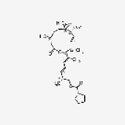 CC(=O)O[C@@H]1/C=C/[C@H](C)[C@@H](/C(C)=C/C=C/[C@@H](C)COC(=O)N2CCCC2)OC(=O)C[C@@H](O)CC[C@]1(C)O